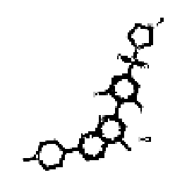 Cc1cc(-c2c(F)cc(S(=O)(=O)N3CC[C@H](F)C3)cc2F)nc2nc(C3CCN(C)CC3)ccc12.Cl